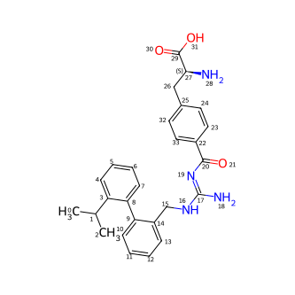 CC(C)c1ccccc1-c1ccccc1CNC(N)=NC(=O)c1ccc(C[C@H](N)C(=O)O)cc1